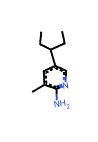 CCC(CC)c1cnc(N)c(C)c1